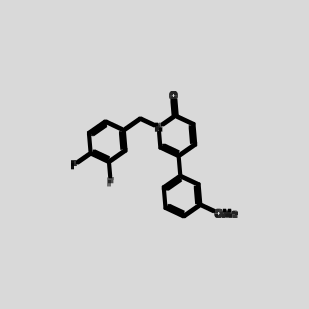 COc1cccc(-c2ccc(=O)n(Cc3ccc(F)c(F)c3)c2)c1